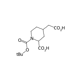 CC(C)(C)OC(=O)N1CCC(CC(=O)O)CC1C(=O)O